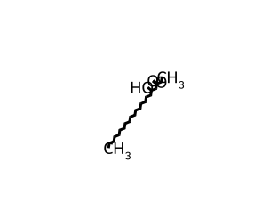 CCCCCCCCCCCCCCCCCC(O)CC(=O)OC